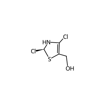 OCC1=C(Cl)N[C@H](Cl)S1